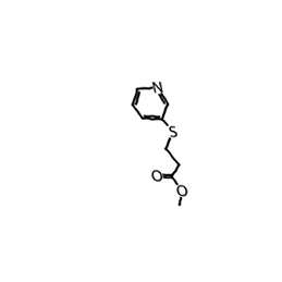 COC(=O)CCSc1cccnc1